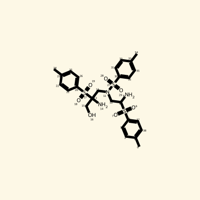 Cc1ccc(S(=O)(=O)C(N)CN(CC(N)(CO)S(=O)(=O)c2ccc(C)cc2)S(=O)(=O)c2ccc(C)cc2)cc1